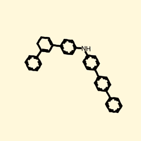 C1=C(c2ccc(Nc3ccc(-c4ccc(-c5ccccc5)cc4)cc3)cc2)C=C(c2ccccc2)CC1